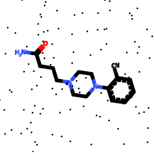 N#Cc1ccccc1N1CCN(CCCC(N)=O)CC1